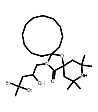 CCC(C)(CC)CC(O)CN1C(=O)C2(CC(C)(C)NC(C)(C)C2)OC12CCCCCCCCCCC2